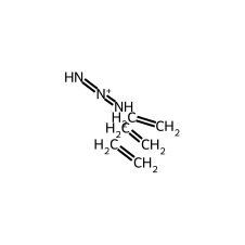 C=C.C=C.C=C.N=[N+]=N